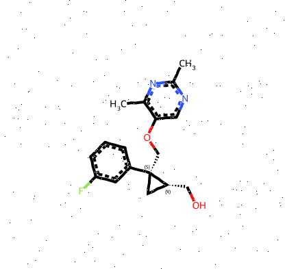 Cc1ncc(OC[C@@]2(c3cccc(F)c3)C[C@H]2CO)c(C)n1